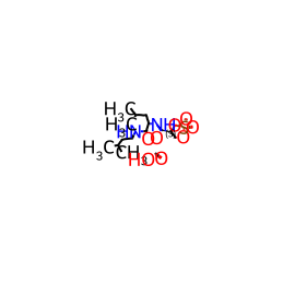 CC(C)CCNC(=O)C(CC(C)C)NC(=O)[C@@H]1COS(=O)(=O)O1.O=CO